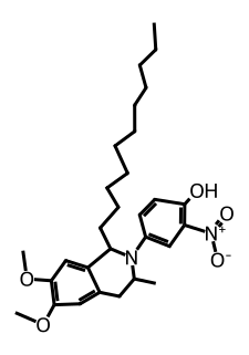 CCCCCCCCCCCC1c2cc(OC)c(OC)cc2CC(C)N1c1ccc(O)c([N+](=O)[O-])c1